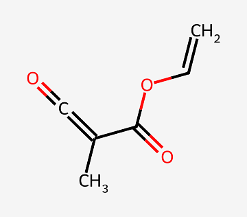 C=COC(=O)C(C)=C=O